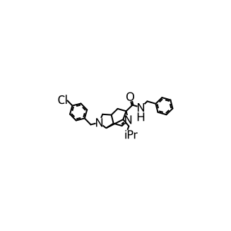 CC(C)CC1C2C3C=NC1(C(=O)NCc1ccccc1)CC3CN2Cc1ccc(Cl)cc1